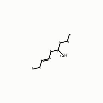 CC/C=C/CC(S)CCC